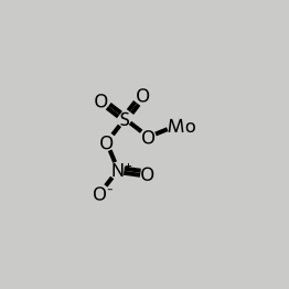 O=[N+]([O-])OS(=O)(=O)[O][Mo]